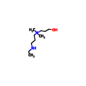 CCNCCC[N+](C)(C)CCCO